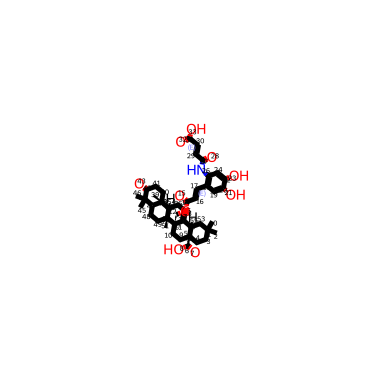 CC1(C)CC[C@]2(C(=O)O)CC[C@]3(COC(=O)/C=C/c4cc(O)c(O)cc4NC(=O)/C=C/C(=O)O)C(=CC[C@@H]4[C@@]5(C)CCC(=O)C(C)(C)C5CC[C@]43C)[C@H]2C1